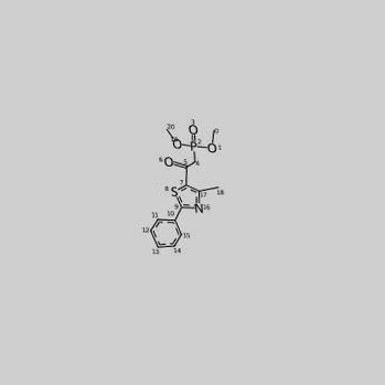 COP(=O)(CC(=O)c1sc(-c2ccccc2)nc1C)OC